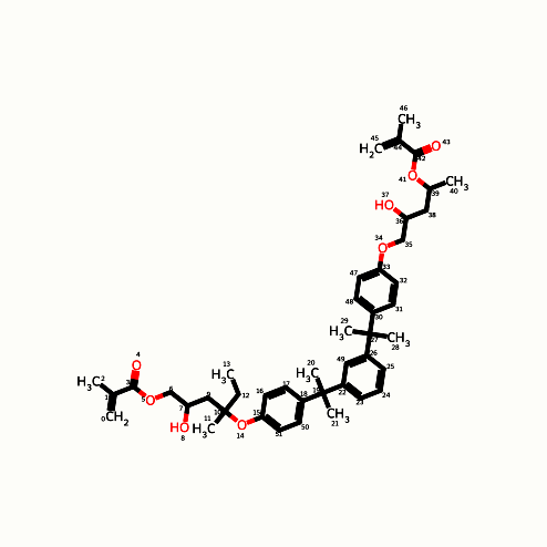 C=C(C)C(=O)OCC(O)CC(C)(CC)Oc1ccc(C(C)(C)c2cccc(C(C)(C)c3ccc(OCC(O)CC(C)OC(=O)C(=C)C)cc3)c2)cc1